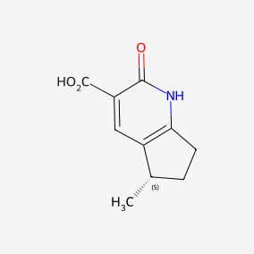 C[C@H]1CCc2[nH]c(=O)c(C(=O)O)cc21